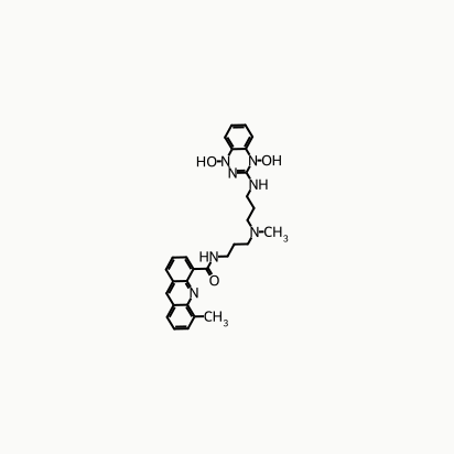 Cc1cccc2cc3cccc(C(=O)NCCCN(C)CCCNC4=NN(O)c5ccccc5N4O)c3nc12